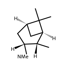 CN[C@@H]1C[C@@H]2C[C@H]([C@@H]1C)C2(C)C